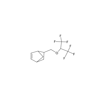 FC(F)(F)C(OCC1CC2C=CC1C2)C(F)(F)F